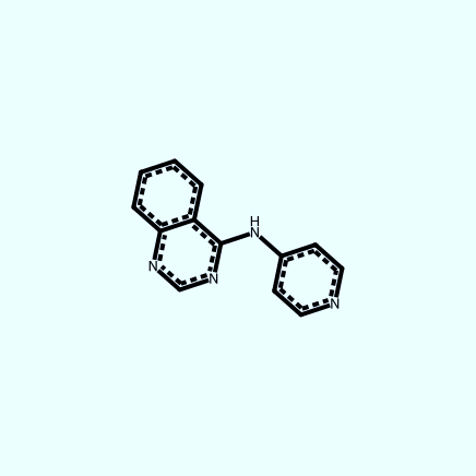 c1ccc2c(Nc3ccncc3)ncnc2c1